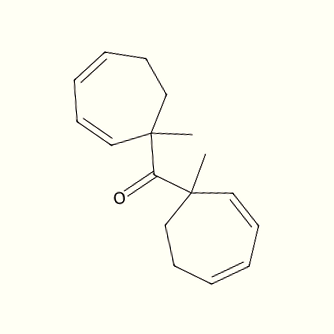 CC1(C(=O)C2(C)C=CC=CCC2)C=CC=CCC1